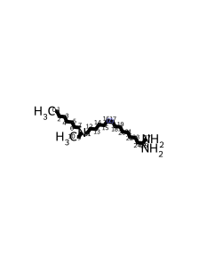 CCCCCCCCN(CC)CCCCC/C=C\CCCCCCCC(N)N